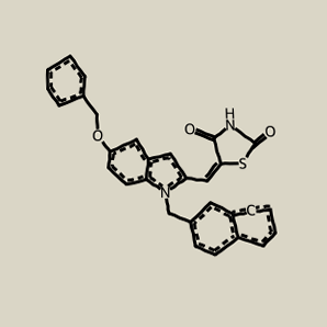 O=C1NC(=O)C(=Cc2cc3cc(OCc4ccccc4)ccc3n2Cc2ccc3ccccc3c2)S1